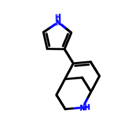 C1=C(c2cc[nH]c2)C2CCNC(C1)C2